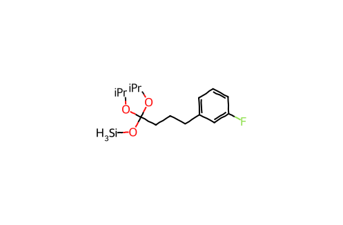 CC(C)OC(CCCc1cccc(F)c1)(O[SiH3])OC(C)C